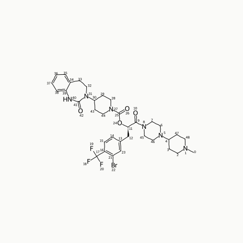 CN1CCC(N2CCN(C(=O)[C@@H](Cc3ccc(C(F)(F)F)c(Br)c3)OC(=O)N3CCC(N4CCc5ccccc5NC4=O)CC3)CC2)CC1